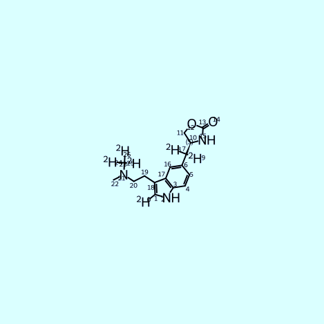 [2H]c1[nH]c2ccc(C([2H])([2H])[C@H]3COC(=O)N3)cc2c1CCN(C)C([2H])([2H])[2H]